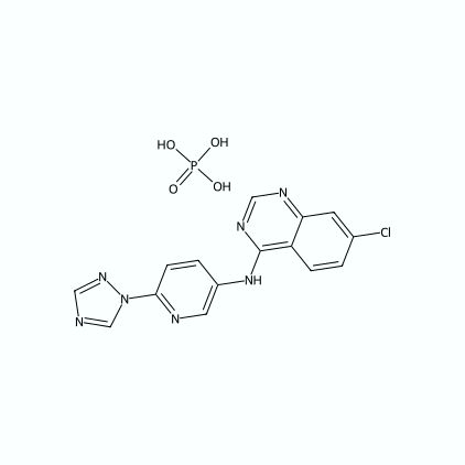 Clc1ccc2c(Nc3ccc(-n4cncn4)nc3)ncnc2c1.O=P(O)(O)O